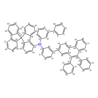 c1ccc(-c2cccc(N(c3cccc(-c4ccc5c(c4)c(-c4ccccc4)c(-c4ccccc4)c4ccccc45)c3)c3cccc4c3-c3ccccc3C4(c3ccccc3)c3ccccc3)c2)cc1